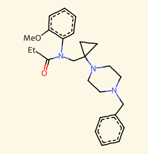 CCC(=O)N(CC1(N2CCN(Cc3ccccc3)CC2)CC1)c1ccccc1OC